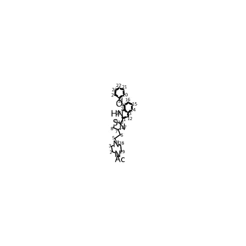 CC(=O)N1CCN(CCC2CSC(c3cc4cccc(Oc5ccccc5)c4[nH]3)=N2)CC1